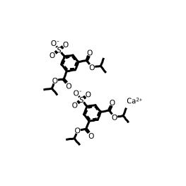 CC(C)OC(=O)c1cc(C(=O)OC(C)C)cc(S(=O)(=O)[O-])c1.CC(C)OC(=O)c1cc(C(=O)OC(C)C)cc(S(=O)(=O)[O-])c1.[Ca+2]